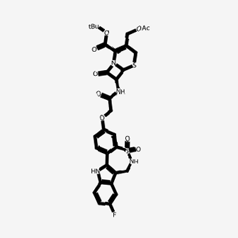 CC(=O)OCC1=C(C(=O)OC(C)(C)C)N2C(=O)C(NC(=O)COc3ccc4c(c3)S(=O)(=O)NCc3c-4[nH]c4ccc(F)cc34)C2SC1